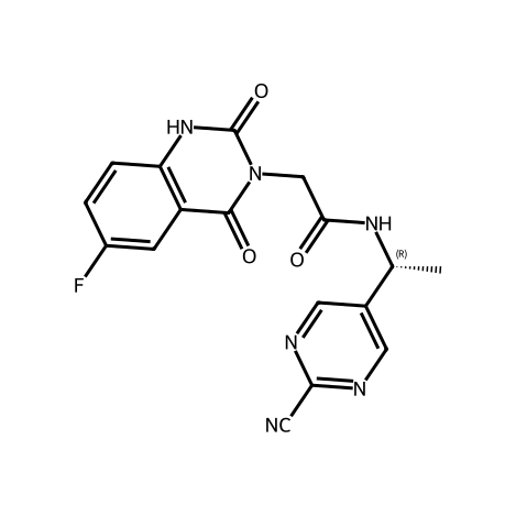 C[C@@H](NC(=O)Cn1c(=O)[nH]c2ccc(F)cc2c1=O)c1cnc(C#N)nc1